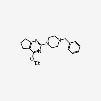 CCOc1nc(N2CCN(Cc3ccccc3)CC2)nc2c1CCC2